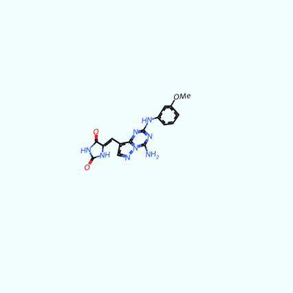 COc1cccc(Nc2nc(N)n3ncc(/C=C4\NC(=O)NC4=O)c3n2)c1